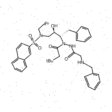 CC(C)CN(C[C@@H](O)[C@H](Cc1ccccc1)N(NC(=O)CNCc1ccccc1)C(=O)CC(C)(C)C)S(=O)(=O)c1ccc2ccccc2c1